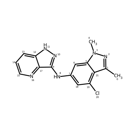 Cc1nn(C)c2cc(Nc3n[nH]c4cccnc34)cc(Cl)c12